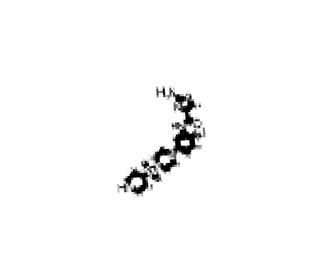 Nc1nc(C(=O)Nc2cc(N3CCN(S(=O)(=O)C4CCNCC4)CC3)ccc2Cl)co1